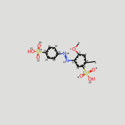 COc1cc(C)c(S(=O)(=O)O)cc1N=Nc1ccc(S(=O)(=O)O)cc1